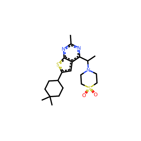 Cc1nc(C(C)N2CCS(=O)(=O)CC2)c2cc(C3CCC(C)(C)CC3)sc2n1